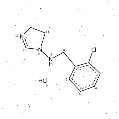 Cl.Clc1ccccc1CNN1C=NCC1